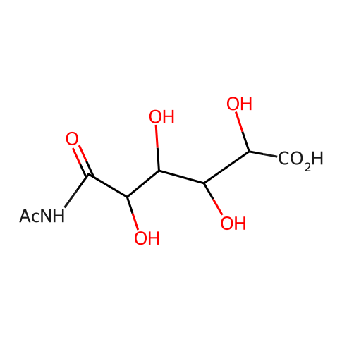 CC(=O)NC(=O)C(O)C(O)C(O)C(O)C(=O)O